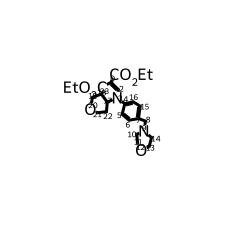 CCOC(=O)C(=CN(c1ccc(CN2CCOCC2)cc1)C1CCOCC1)C(=O)OCC